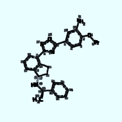 CC(C)Oc1ccc(-c2nc(-c3cccc4c3CC[C@@H]4N[C@H](C)c3ccccc3)no2)cc1N